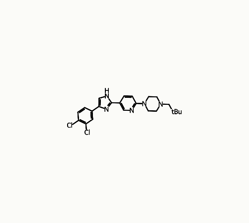 CC(C)(C)CN1CCN(c2ccc(-c3nc(-c4ccc(Cl)c(Cl)c4)c[nH]3)cn2)CC1